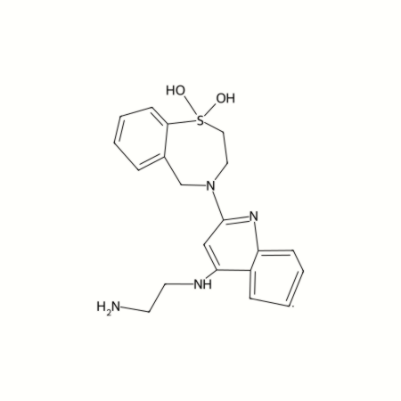 NCCNc1cc(N2CCS(O)(O)c3ccccc3C2)nc2cc[c]cc12